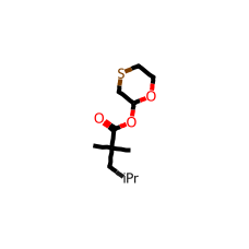 CC(C)CC(C)(C)C(=O)OC1CSCCO1